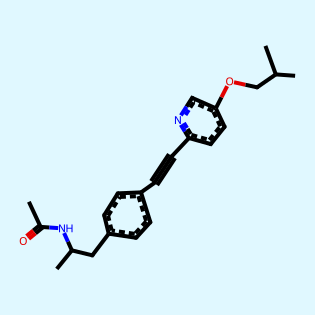 CC(=O)NC(C)Cc1ccc(C#Cc2ccc(OCC(C)C)cn2)cc1